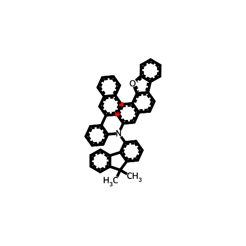 CC1(C)c2ccccc2-c2c(N(c3ccc4c(ccc5c6ccccc6oc45)c3)c3ccccc3-c3ccc4ccccc4c3)cccc21